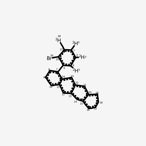 [2H]c1c([2H])c([2H])c(-c2cccc3cc4cc5ccccc5cc4cc23)c(Br)c1[2H]